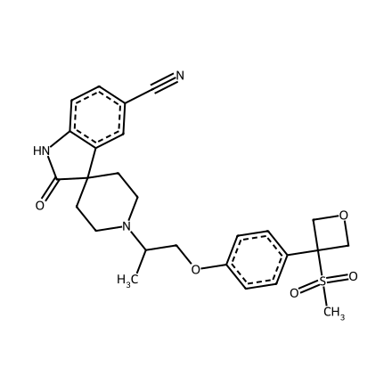 CC(COc1ccc(C2(S(C)(=O)=O)COC2)cc1)N1CCC2(CC1)C(=O)Nc1ccc(C#N)cc12